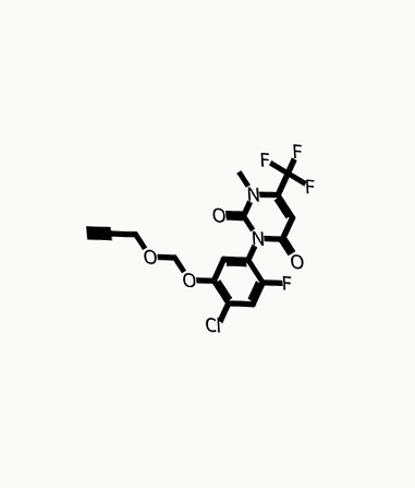 C#CCOCOc1cc(-n2c(=O)cc(C(F)(F)F)n(C)c2=O)c(F)cc1Cl